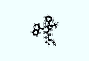 CN(C)C(=NC#N)NNC(=O)c1sc(C(F)(F)F)c(-c2ccccc2)c1NCc1ccnc2ccccc12